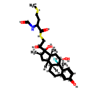 CSCCC(NC=O)C(=O)SCC(=O)[C@@]1(O)[C@H](C)C[C@H]2[C@@H]3CCC4=CC(=O)C=C[C@]4(C)[C@@]3(F)[C@@H](O)C[C@@]21C